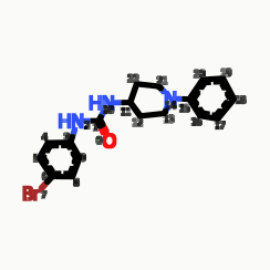 O=C(Nc1ccc(Br)cc1)NC1CCN(c2ccccc2)CC1